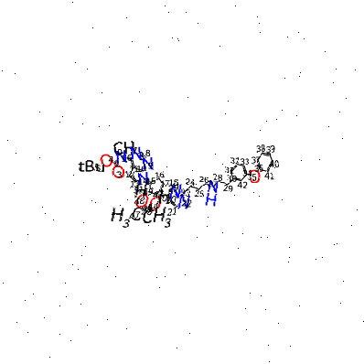 CN(C(=O)OC(C)(C)C)c1ncnc2c1ccn2[C@@H]1C[C@H](Cn2ccnc2CCCNCCc2cccc(Oc3ccccc3)c2)[C@H]2OC(C)(C)O[C@H]21